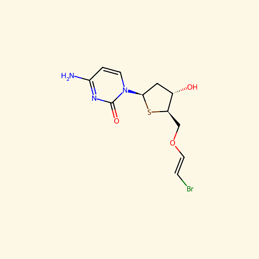 Nc1ccn([C@H]2C[C@H](O)[C@@H](COC=CBr)S2)c(=O)n1